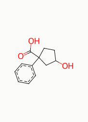 O=C(O)C1(c2ccccc2)CCC(O)C1